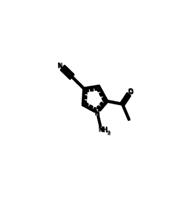 CC(=O)c1cc(C#N)cn1N